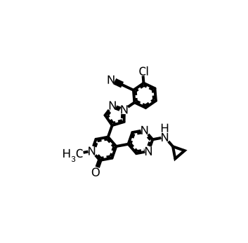 Cn1cc(-c2cnn(-c3cccc(Cl)c3C#N)c2)c(-c2cnc(NC3CC3)nc2)cc1=O